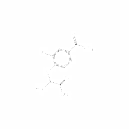 CC(=O)c1ccc(SC(C)C(=O)O)c(F)c1